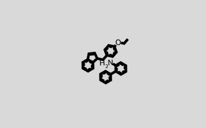 CCOc1ccc(CC2C=Cc3ccccc32)cc1.Nc1ccccc1-c1ccccc1